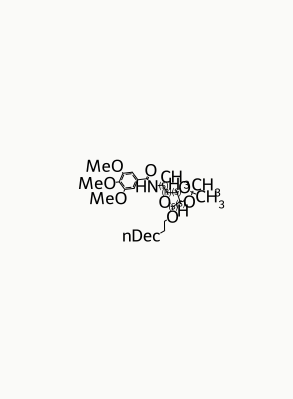 CCCCCCCCCCCCO[C@H]1O[C@H]([C@H](C)NC(=O)c2cc(OC)c(OC)c(OC)c2)[C@@H]2OC(C)(C)O[C@H]12